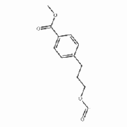 COC(=O)c1ccc(CCCO[C]=O)cc1